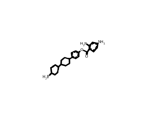 BC1CCC(C2CCC(c3ccc(OC(=O)c4ccc(N)cc4N)cc3)CC2)CC1